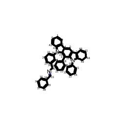 c1ccc2c3cc4c5c(n(-c6ccccc6)c4c(-c4ccccc4)c3n(-c3cccc(C/N=C/c4ccccc4)c3)c2c#1)CCC=C5